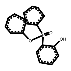 O=P(Oc1ccccc1)(c1ccccc1)c1ccccc1O